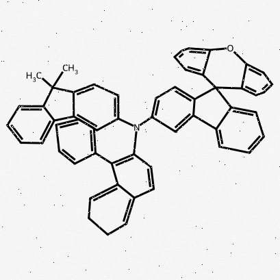 CC1(C)c2ccccc2-c2cc(N(c3ccc4c(c3)-c3ccccc3C43c4ccccc4Oc4ccccc43)c3ccc4c(c3-c3ccccc3)=CCCC=4)ccc21